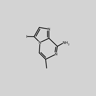 Cc1cn2c(I)cnc2c(N)n1